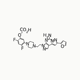 Nc1nc2c(cnn2CCN2CCN(c3cc(OCC(=O)O)c(F)cc3F)CC2)c2cc(-c3ccco3)nn12